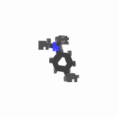 CCN(c1ccc(C(C)C)cc1)C(C)C